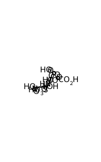 O=C(CCCCCN1C(=O)CC[C@@H]1O)N[C@@H](CS(=O)(=O)O)[C@H](O)NCCOCCOC1C[C@@H](O[C@H]2C[C@@H](O)C[C@@H](C(=O)O)O2)C=C[C@H]1COO